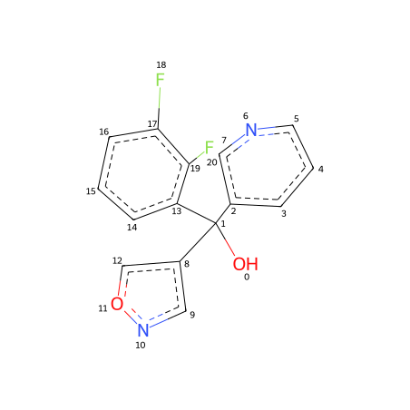 OC(c1cccnc1)(c1cnoc1)c1cccc(F)c1F